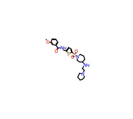 COc1cccc(C(=O)NCc2ccc(S(=O)(=O)N3CCCC(NCCN4CCCCC4)CC3)s2)c1